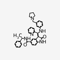 C[C@@H](NC(=O)c1ccc2c(c1)/C(=C(/Nc1cccc(CN3CCCC3)c1)c1ccccn1)C(=O)N2)c1ccccc1